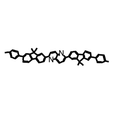 Cc1ccc(-c2ccc3c(c2)C(C)(C)c2cc(-c4ccc5nc(-c6ccc7c(c6)C(C)(C)c6cc(-c8ccc(C)cc8)ccc6-7)ccc5n4)ccc2-3)cc1